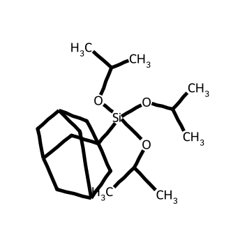 CC(C)O[Si](OC(C)C)(OC(C)C)C12CC3CC(CC(C3)C1)C2